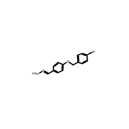 CCCCCC/N=C/c1ccc(OCc2ccc(CC)cc2)cc1